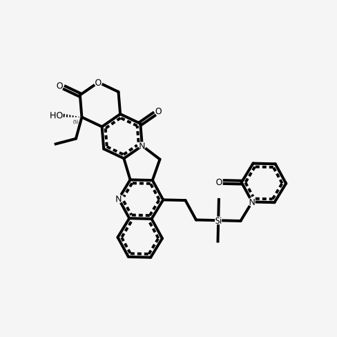 CC[C@@]1(O)C(=O)OCc2c1cc1n(c2=O)Cc2c-1nc1ccccc1c2CC[Si](C)(C)Cn1ccccc1=O